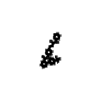 O=C(C=Cc1ccc(NC(=O)c2ccccc2-c2ccc(C(F)(F)F)cc2)cc1)Nc1ccccn1